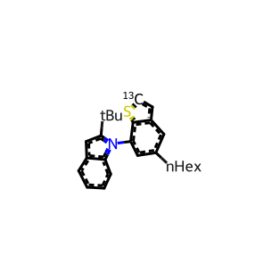 CCCCCCc1cc(-n2c(C(C)(C)C)cc3ccccc32)c2s[13cH]cc2c1